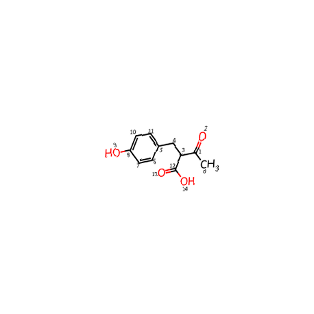 CC(=O)C(Cc1ccc(O)cc1)C(=O)O